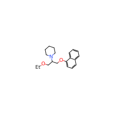 CCOCC(COc1cccc2ccccc12)N1CCCCC1